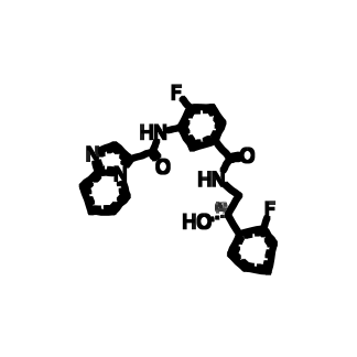 O=C(NC[C@@H](O)c1ccccc1F)c1ccc(F)c(NC(=O)c2cnc3ccccn23)c1